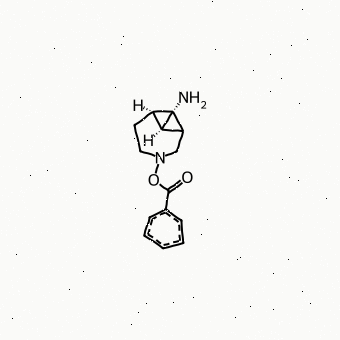 N[C@@]12C3CN(OC(=O)c4ccccc4)CC[C@@H]1[C@H]32